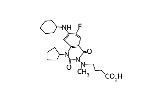 CN(CCCC(=O)O)n1c(=O)c2cc(F)c(NC3CCCCC3)cc2n(C2CCCC2)c1=O